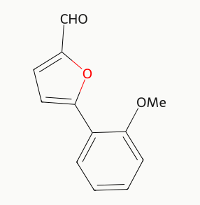 COc1ccccc1-c1ccc(C=O)o1